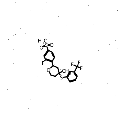 CC1(Sc2cccc(C(F)(F)F)c2)CCOC(c2ccc(S(C)(=O)=O)cc2F)C1